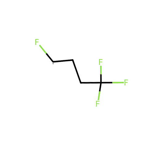 F[CH]CCC(F)(F)F